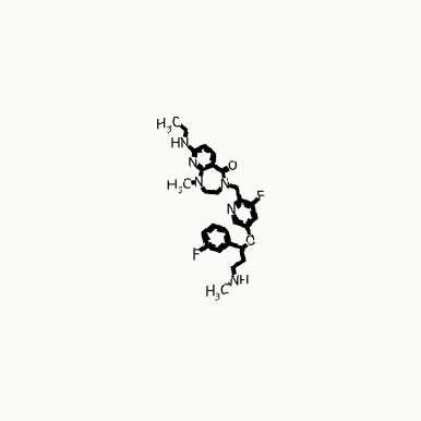 CCNc1ccc2c(n1)N(C)CCN(Cc1ncc(OC(CCNC)c3cccc(F)c3)cc1F)C2=O